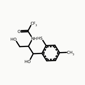 Cc1ccc(C(O)C(CO)NC(=O)C(F)(F)F)c(S)c1